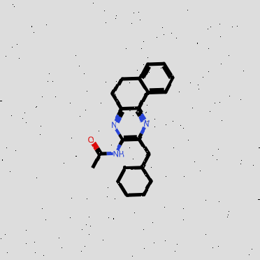 CC(=O)Nc1nc2c(nc1CC1CCCCC1)-c1ccccc1CC2